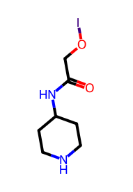 O=C(COI)NC1CCNCC1